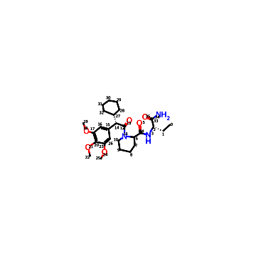 CC[C@H](NC(=O)C1CCCCN1C(=O)[C@H](c1cc(OC)c(OC)c(OC)c1)C1CCCCC1)C(N)=O